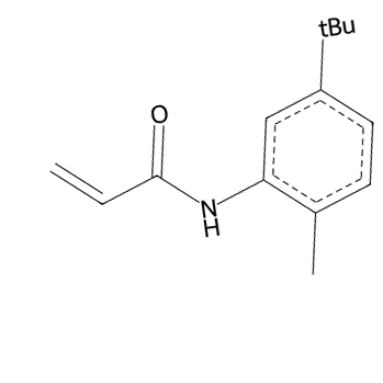 C=CC(=O)Nc1cc(C(C)(C)C)ccc1C